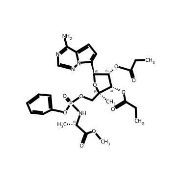 CCC(=O)O[C@H]1[C@H](c2ccc3c(N)ncnn23)O[C@](C)(COP(=O)(N[C@@H](C)C(=O)OC)Oc2ccccc2)[C@H]1OC(=O)CC